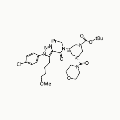 COCCCCc1c(C(=O)N(CC(C)C)[C@H]2C[C@@H](C(=O)N3CCOCC3)CN(C(=O)OC(C)(C)C)C2)nnn1-c1ccc(Cl)cc1